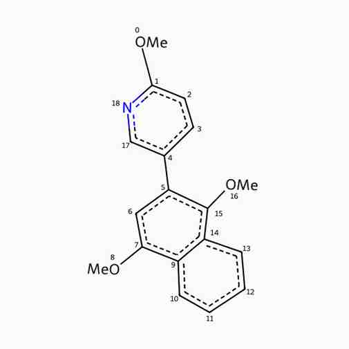 COc1ccc(-c2cc(OC)c3ccccc3c2OC)cn1